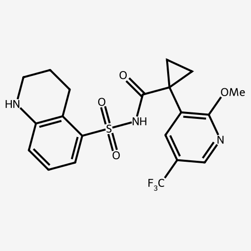 COc1ncc(C(F)(F)F)cc1C1(C(=O)NS(=O)(=O)c2cccc3c2CCCN3)CC1